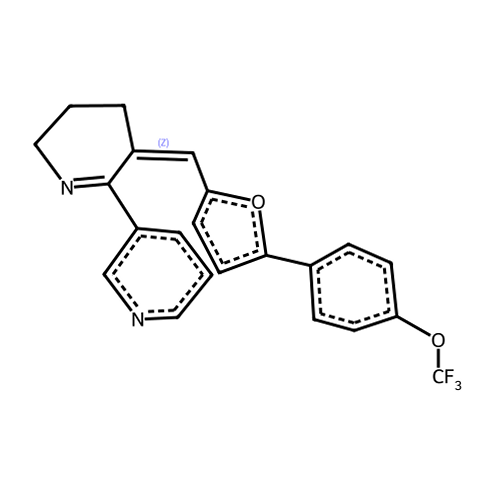 FC(F)(F)Oc1ccc(-c2ccc(/C=C3/CCCN=C3c3cccnc3)o2)cc1